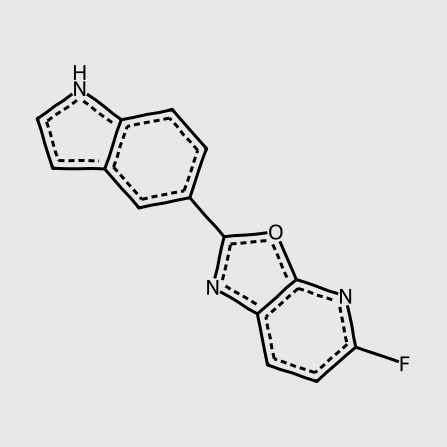 Fc1ccc2nc(-c3ccc4[nH]ccc4c3)oc2n1